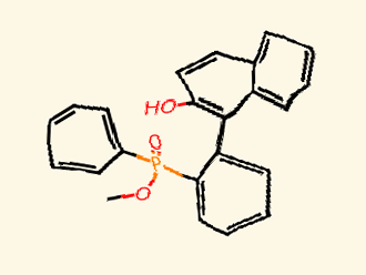 COP(=O)(c1ccccc1)c1ccccc1-c1c(O)ccc2ccccc12